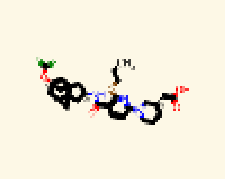 CCCSc1nc(N2CCC[C@@H](CC(=O)O)C2)ccc1C(=O)N[C@H]1CC23CC2C[C@@]2(OC(F)F)CC1C3C2